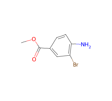 COC(=O)c1ccc(N)c(Br)c1